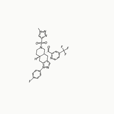 Cn1cc(S(=O)(=O)N2CC[C@H]3Cc4c(cnn4-c4ccc(F)cc4)C[C@]3(C(=O)c3cc(C(F)(F)F)ccn3)C2)nn1